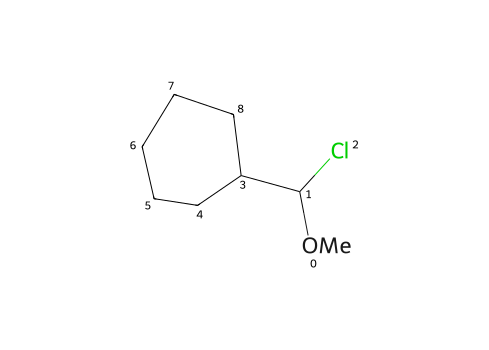 COC(Cl)C1CCCCC1